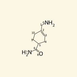 NCC1=CCC(C(N)=O)CC1